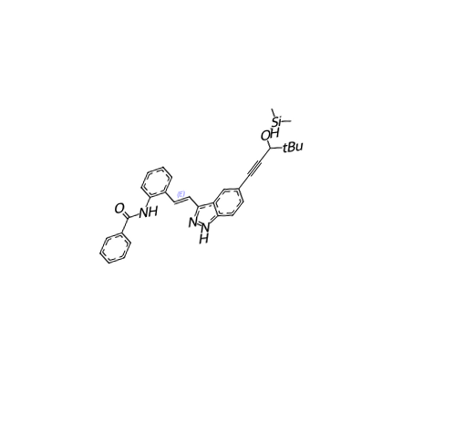 C[SiH](C)OC(C#Cc1ccc2[nH]nc(/C=C/c3ccccc3NC(=O)c3ccccc3)c2c1)C(C)(C)C